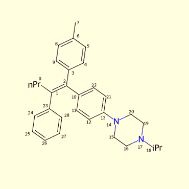 CCC/C(=C(\c1ccc(C)cc1)c1ccc(N2CCN(C(C)C)CC2)cc1)c1ccccc1